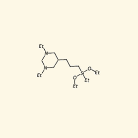 CCO[Si](CC)(CCCC1CN(CC)CN(CC)C1)OCC